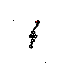 c1ccc2c(-c3ccc(COC4CCCCO4)cc3)c3ccccc3c(-c3ccc(CCCCCOC4CCCCO4)cc3)c2c1